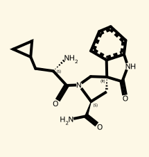 NC(=O)[C@@H]1C[C@@]2(CN1C(=O)[C@@H](N)CC1CC1)C(=O)Nc1ccccc12